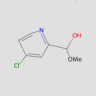 COC(O)c1cc(Cl)ccn1